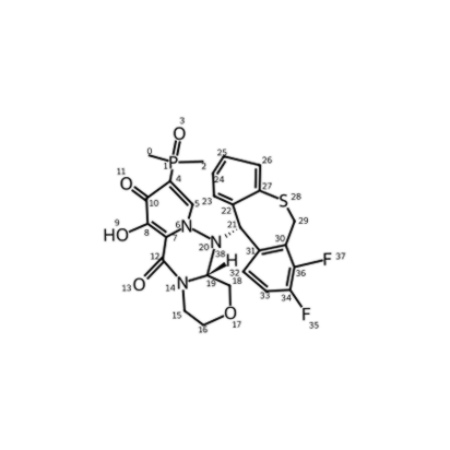 CP(C)(=O)c1cn2c(c(O)c1=O)C(=O)N1CCOC[C@H]1N2[C@@H]1c2ccccc2SCc2c1ccc(F)c2F